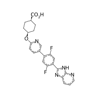 O=C(O)[C@H]1CC[C@@H](Oc2ccc(-c3cc(F)c(-c4nc5cccnc5[nH]4)cc3F)cn2)CC1